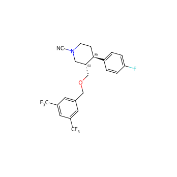 N#CN1CC[C@@H](c2ccc(F)cc2)[C@H](COCc2cc(C(F)(F)F)cc(C(F)(F)F)c2)C1